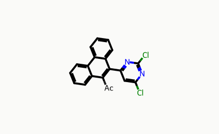 CC(=O)c1c(-c2cc(Cl)nc(Cl)n2)c2ccccc2c2ccccc12